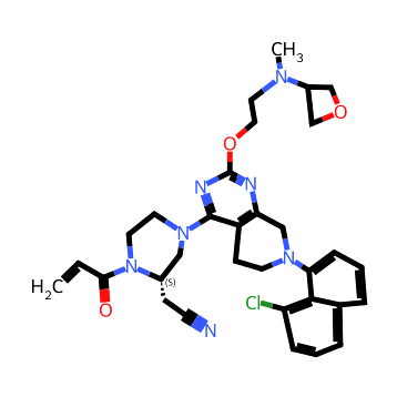 C=CC(=O)N1CCN(c2nc(OCCN(C)C3COC3)nc3c2CCN(c2cccc4cccc(Cl)c24)C3)C[C@@H]1CC#N